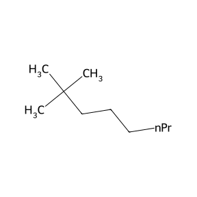 C[CH]CCCCC(C)(C)C